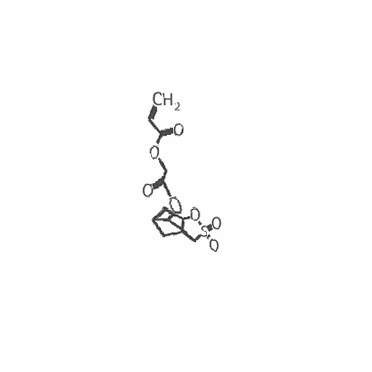 C=CC(=O)OCC(=O)OC1C2CC3OS(=O)(=O)C1C3C2